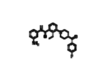 CCc1c(C(=O)Nc2cccc(N)c2)cccc1N1CCC(C(=O)c2ccc(F)cc2)CC1